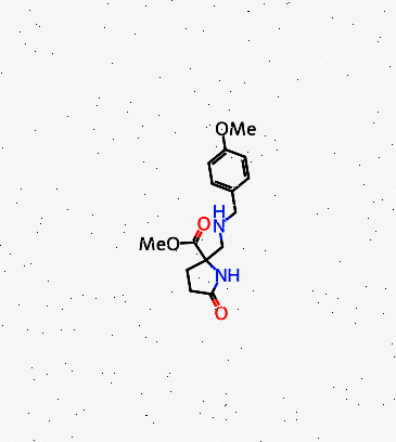 COC(=O)C1(CNCc2ccc(OC)cc2)CCC(=O)N1